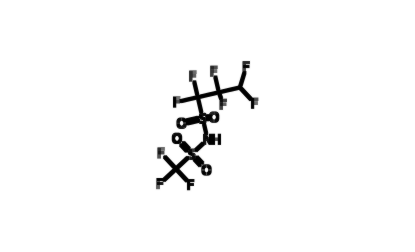 O=S(=O)(NS(=O)(=O)C(F)(F)C(F)(F)C(F)F)C(F)(F)F